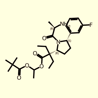 CCC(CC)(C(=O)OC(C)OC(=O)C(C)(C)C)[C@H]1CC[C@@H](c2cccc(F)c2)N1C(=O)[C@@H](C)N